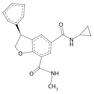 CNC(=O)c1cc(C(=O)NC2CC2)cc2c1OC[C@H]2c1ccccc1